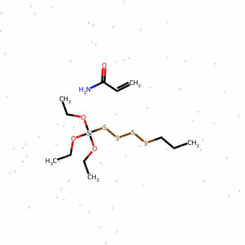 C=CC(N)=O.CCCSSSS[Si](OCC)(OCC)OCC